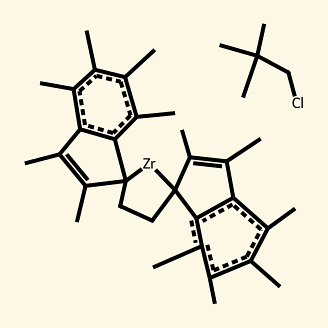 CC(C)(C)CCl.CC1=C(C)[C]2(CC[C]3([Zr]2)C(C)=C(C)c2c(C)c(C)c(C)c(C)c23)c2c(C)c(C)c(C)c(C)c21